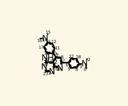 CN(C)c1ccc(-c2cc(-c3ccc(N(C)C)cc3)c3c(N)ncnc3n2)cc1